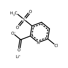 CS(=O)(=O)c1ccc(Cl)nc1C(=O)[O-].[Li+]